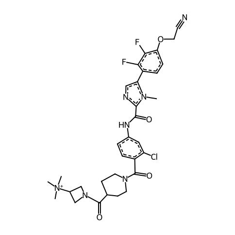 Cn1c(-c2ccc(OCC#N)c(F)c2F)cnc1C(=O)Nc1ccc(C(=O)N2CCC(C(=O)N3CC([N+](C)(C)C)C3)CC2)c(Cl)c1